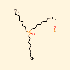 CCCCCCCCP(=O)(CCCCCCCC)CCCCCCCC.O=[P]